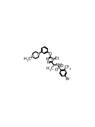 CCn1c(Oc2cccc(N3CCN(C)CC3)c2)nnc1[C@@H](C)NS(=O)(=O)c1ccc(Br)cc1C(F)(F)F